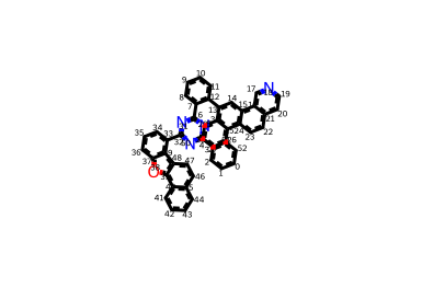 c1ccc(-c2nc(-c3ccccc3-c3cc4c5cnccc5ccc4c4ccccc34)nc(-c3cccc4oc5c6ccccc6ccc5c34)n2)cc1